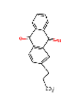 O=C(O)CCc1ccc2c(c1)C(=O)c1ccccc1C2=O